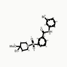 CCC1(OC)CCN(S(=O)(=O)c2cccc(C(=O)Nc3cccc(Br)c3)c2)CC1